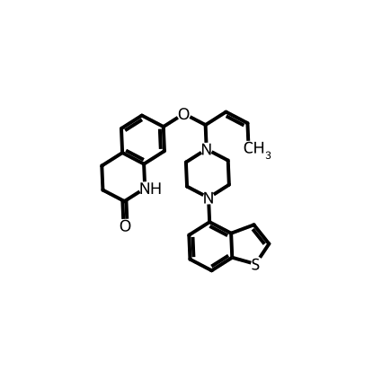 C/C=C\C(Oc1ccc2c(c1)NC(=O)CC2)N1CCN(c2cccc3sccc23)CC1